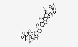 CCC[C@H](C)N(Cc1nc2ccc3cc4c(cc3c2[nH]1)OCc1cc(-c2cnc([C@@H]3C[C@H](C)CN3C(=O)[C@@H](NC(=O)OC)[C@@H](C)OC)[nH]2)ccc1-4)C(=O)[C@@H](CNC(=O)OC)[C@@H](C)OC